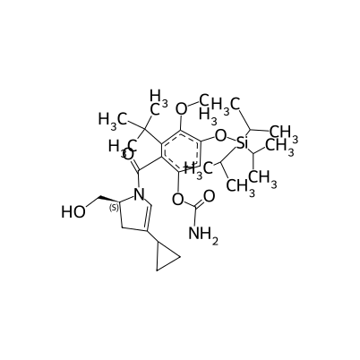 COc1c(O[Si](C(C)C)(C(C)C)C(C)C)cc(OC(N)=O)c(C(=O)N2C=C(C3CC3)C[C@H]2CO)c1C(C)(C)C